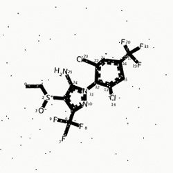 CC[S+]([O-])c1c(C(F)(F)F)nn(-c2c(Cl)cc(C(F)(F)F)cc2Cl)c1N